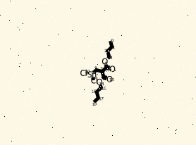 CCCCOC(=O)C([CH2][Sn]([Cl])[Cl])C(=O)OCCCC